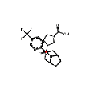 O=C(O)N1CC[C@H](C(=O)N2C3CCC2CN(c2ncc(C(F)(F)F)cn2)C3)C1